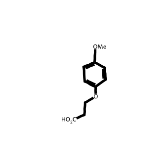 COc1ccc(OCCC(=O)O)cc1